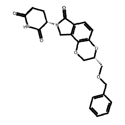 O=C1CC[C@H](N2Cc3c(ccc4c3OC[C@@H](COCc3ccccc3)O4)C2=O)C(=O)N1